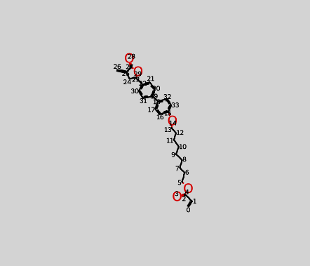 C=CC(=O)OCCCCCCCCCOc1ccc(-c2ccc(C3CC(=C)C(=O)O3)cc2)cc1